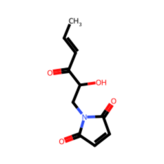 CC=CC(=O)C(O)CN1C(=O)C=CC1=O